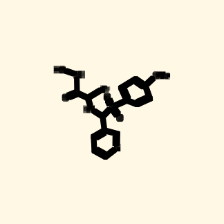 COc1ccc(S(=O)(=O)C(NC(C(=O)NO)C(C)C)c2cccnc2)cc1